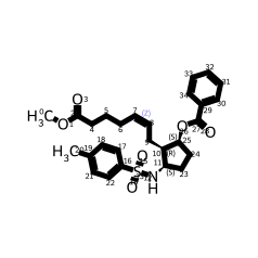 COC(=O)CCC/C=C\C[C@@H]1[C@@H](NS(=O)(=O)c2ccc(C)cc2)CC[C@@H]1OC(=O)c1ccccc1